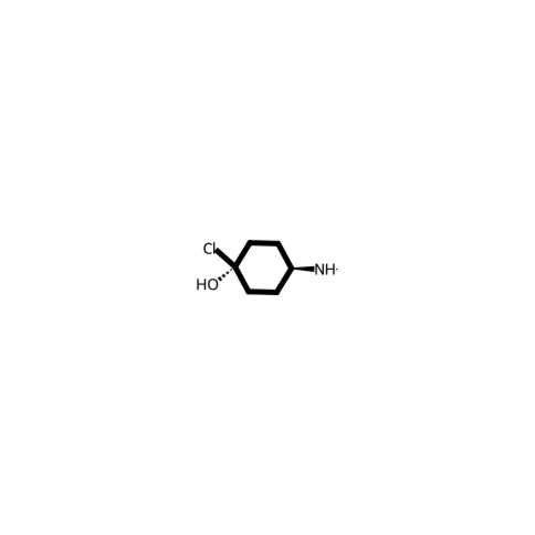 [NH][C@H]1CC[C@@](O)(Cl)CC1